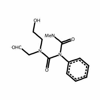 CNC(=O)N(C(=O)N(C[C]=O)CCO)c1ccccc1